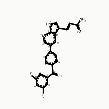 NC(=O)/C=C/c1c[nH]c2ncc(-c3ccc(C(=O)c4cc(F)cc(F)c4)cc3)cc12